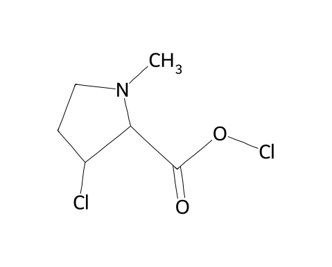 CN1CCC(Cl)C1C(=O)OCl